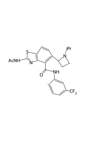 CC(=O)Nc1nc2c(C(=O)Nc3[c]ccc(C(F)(F)F)c3)c(C3CCN3C(C)C)ccc2s1